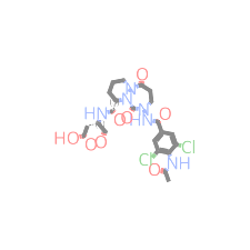 CC(=O)Nc1c(Cl)cc(C(=O)NN2CCC(=O)N3CCC[C@@H](C(=O)N[C@H](C=O)CC(=O)O)N3C2=O)cc1Cl